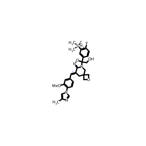 COc1cc(/C=C2\CC3(COC3)CN3C2=NOC3(CO)c2ccc(F)c([Si](C)(C)C)c2)ccc1-n1cnc(C)c1